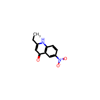 CCc1cc(=O)c2cc([N+](=O)[O-])ccc2[nH]1